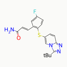 CC(C)(C)c1nnc2ccc(Sc3ccc(F)cc3C=CC(N)=O)cn12